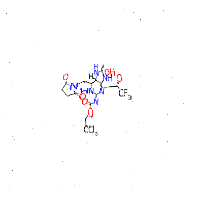 C=C1N[C@H]2[C@H](CN3C(=O)CCC3=O)N/C(=N\C(=O)OCC(Cl)(Cl)Cl)N3C[C@H](C(=O)C(F)(F)F)[C@H](O)[C@]23N1